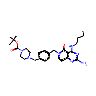 CCCCNc1nc(N)nc2ccn(Cc3ccc(CN4CCN(C(=O)OC(C)(C)C)CC4)cc3)c(=O)c12